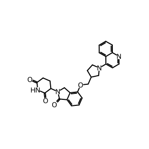 O=C1CCC(N2Cc3c(OCC4CCN(c5ccnc6ccccc56)C4)cccc3C2=O)C(=O)N1